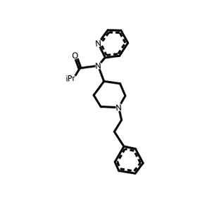 CC(C)C(=O)N(c1ccccn1)C1CCN(CCc2ccccc2)CC1